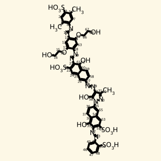 Cc1cc(S(=O)(=O)O)c(C)cc1/N=N/c1cc(OCCO)c(/N=N/c2c(S(=O)(=O)O)cc3cc(/N=N/c4c(C)nn(-c5ccc6c(O)c(/N=N/c7ccccc7S(=O)(=O)O)c(S(=O)(=O)O)cc6c5)c4O)ccc3c2O)cc1OCCO